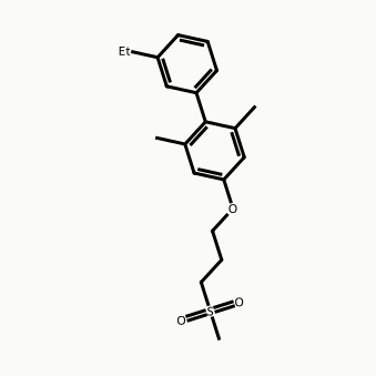 CCc1cccc(-c2c(C)cc(OCCCS(C)(=O)=O)cc2C)c1